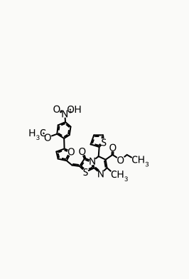 CCOC(=O)C1=C(C)N=c2s/c(=C/c3ccc(-c4ccc([N+](=O)O)cc4OC)o3)c(=O)n2C1c1cccs1